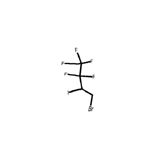 FC(F)(F)C(F)(F)C(I)CBr